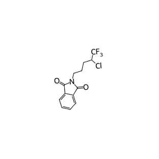 O=C1c2ccccc2C(=O)N1CCCC(Cl)C(F)(F)F